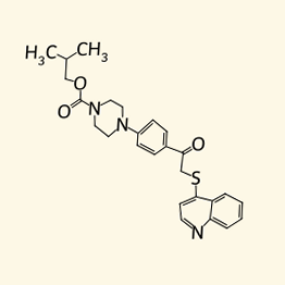 CC(C)COC(=O)N1CCN(c2ccc(C(=O)CSc3ccnc4ccccc34)cc2)CC1